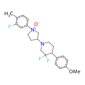 COc1ccc(C2CCN(C3CC[N+]([O-])(c4ccc(C)c(F)c4)C3)CC2(F)F)cc1